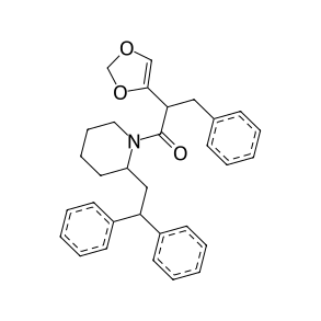 O=C(C(Cc1ccccc1)C1=COCO1)N1CCCCC1CC(c1ccccc1)c1ccccc1